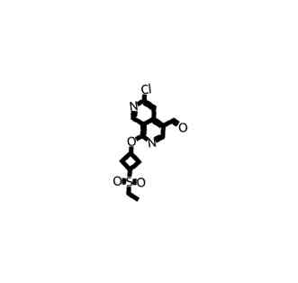 CCS(=O)(=O)C1CC(Oc2ncc(C=O)c3cc(Cl)ncc23)C1